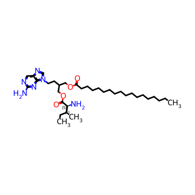 CCCCCCCCCCCCCCCCCC(=O)OCC(CCn1cnc2cnc(N)nc21)COC(=O)[C@@H](N)[C@@H](C)CC